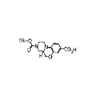 CC(C)(C)OC(=O)N1CCN2c3ccc(C(=O)O)cc3OC[C@@H]2C1